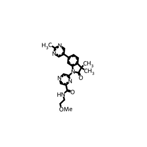 COCCNC(=O)c1cncc(N2C(=O)C(C)(C)c3ccc(-c4cnc(C)nc4)cc32)n1